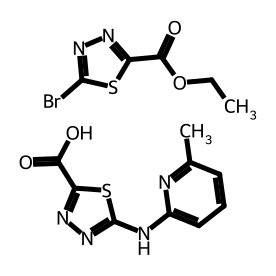 CCOC(=O)c1nnc(Br)s1.Cc1cccc(Nc2nnc(C(=O)O)s2)n1